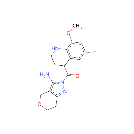 COc1cc(F)cc2c1NCCC2C(=O)n1nc2c(c1N)COCC2